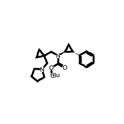 CC(C)(C)OC(=O)N(CC1(CN2CCCC2)CC1)[C@H]1C[C@@H]1c1ccccc1